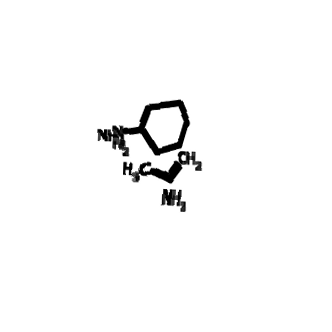 C=CC.N.N.NC1CCCCC1